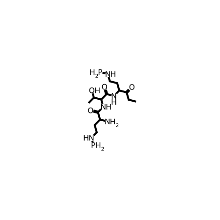 CCC(=O)C(CCNP)NC(=O)C(NC(=O)C(N)CCNP)C(C)O